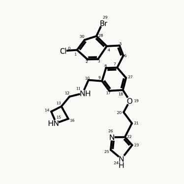 Clc1ccc(/C=C\c2cc(CNCC3CNC3)cc(OCCc3c[nH]cn3)c2)c(Br)c1